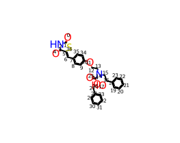 O=C1NC(=O)C(=Cc2ccc(OCCN(CC(O)c3ccccc3)C(=O)OCc3ccccc3)cc2)S1